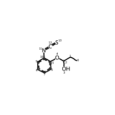 CC[C](O)Oc1ccccc1N=C=S